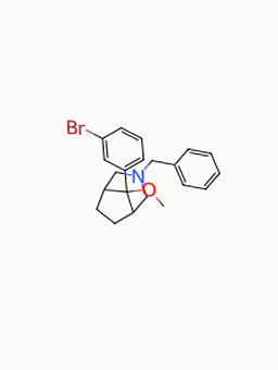 COC1(c2cccc(Br)c2)C2CCC1CN(Cc1ccccc1)C2